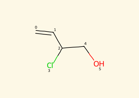 C=CC(Cl)CO